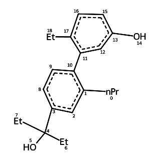 CCCc1cc(C(O)(CC)CC)ccc1-c1cc(O)ccc1CC